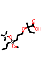 CCC[Si](CCCOC(C)(CC)C(=O)O)(OC)O[Si](C)(C)C